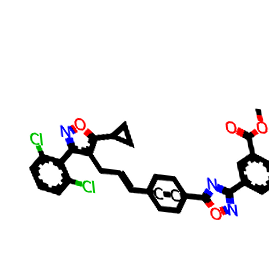 COC(=O)c1cccc(-c2noc(C34CCC(C=CCc5c(-c6c(Cl)cccc6Cl)noc5C5CC5)(CC3)CC4)n2)c1